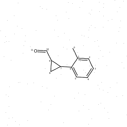 Cc1ccccc1C1CC1[C]=O